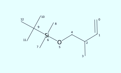 C=CC(C)CO[Si](C)(C)C(C)(C)C